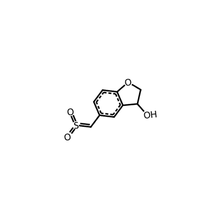 O=S(=O)=Cc1ccc2c(c1)C(O)CO2